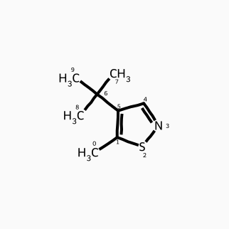 Cc1sncc1C(C)(C)C